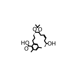 Cc1cc(C)c(C(=O)O)c(CCC[C@@H]2OC(C)(C)OC2C/C=C\C[C@H](C)O)c1